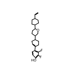 C=CC1CCC(C2CCC(C3CC=C(c4ccc(O)c(F)c4F)CC3)CO2)CC1